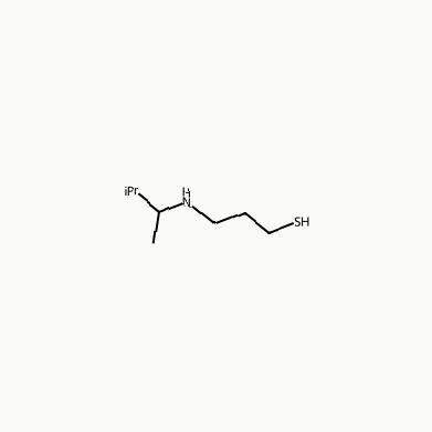 CC(C)C(C)NCCCS